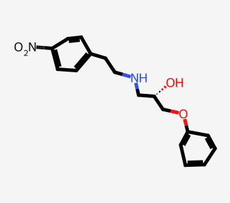 O=[N+]([O-])c1ccc(CCNC[C@H](O)COc2ccccc2)cc1